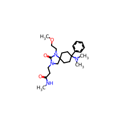 CNC(=O)CCN1CC2(CCC(c3ccccc3)(N(C)C)CC2)N(CCOC)C1=O